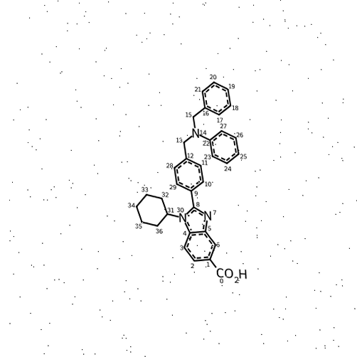 O=C(O)c1ccc2c(c1)nc(-c1ccc(CN(Cc3ccccc3)c3ccccc3)cc1)n2C1CCCCC1